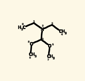 CCN(CC)C(OC)OC